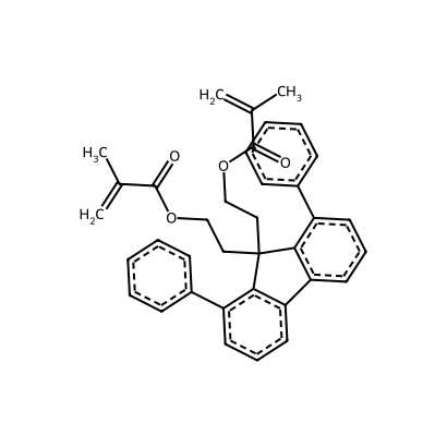 C=C(C)C(=O)OCCC1(CCOC(=O)C(=C)C)c2c(-c3ccccc3)cccc2-c2cccc(-c3ccccc3)c21